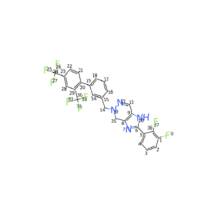 Fc1cccc(-c2nc3c([nH]2)C=NN(Cc2cccc(-c4ccc(C(F)(F)F)cc4C(F)(F)F)c2)C3)c1F